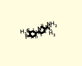 Cc1cc(-c2ccc([C@H](C)N)cn2)ccc1F